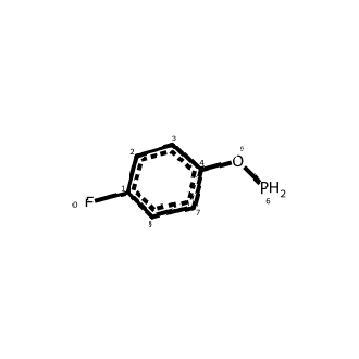 Fc1ccc(OP)cc1